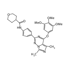 COc1cc(Oc2nc(-c3ccc(NC(=O)C4CCOCC4)cc3)nn3c(C)nc(C)c23)cc(OC)c1OC